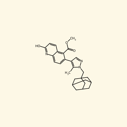 COC(=O)c1c(-c2cnn(CC34CC5CC(CC(C5)C3)C4)c2C)ccc2nc(O)ccc12